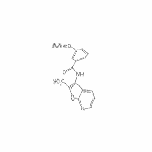 COc1cccc(C(=O)Nc2c(C(=O)O)oc3ncccc23)c1